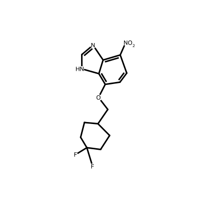 O=[N+]([O-])c1ccc(OCC2CCC(F)(F)CC2)c2[nH]cnc12